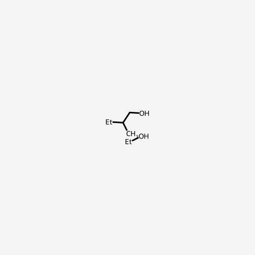 CCC(C)CO.CCO